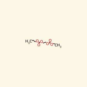 CCCOC(=O)OCCOC(=O)OCC